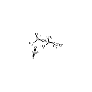 CN(C)C.CN(C)C.[Cl-].[Cl-].[O]=[Mo+2]=[O]